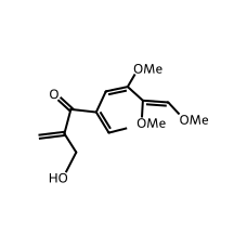 C=C(CO)C(=O)C(=C/C)/C=C(OC)\C(=C\OC)OC